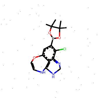 CC1(C)OB(c2cc3c4c(c2Cl)=NCNC=4NC=CO3)OC1(C)C